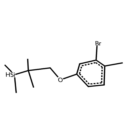 Cc1ccc(OCC(C)(C)[SiH](C)C)cc1Br